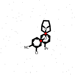 CC(C)c1ccc(N2C3CCC2CC(Oc2ccc(C#N)c(Cl)c2)C3)cc1